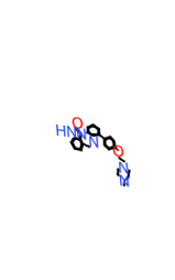 CN1CCN(CCOc2ccc(-c3cccc4c3N=Cc3cccc5[nH]c(=O)n-4c35)cc2)CC1